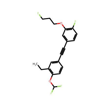 CCc1cc(C#Cc2ccc(F)c(OCCCF)c2)ccc1OC(F)F